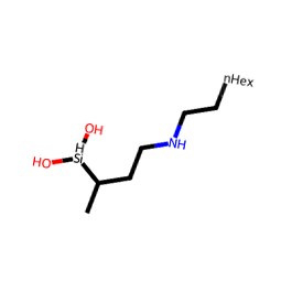 CCCCCCCCNCCC(C)[SiH](O)O